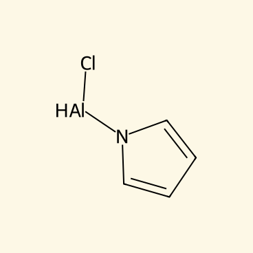 [Cl][AlH][n]1cccc1